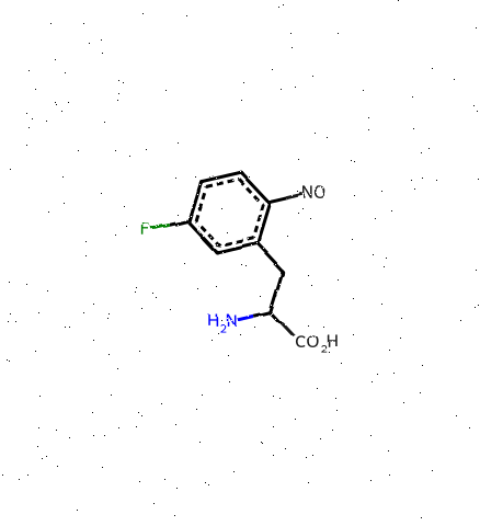 NC(Cc1cc(F)ccc1N=O)C(=O)O